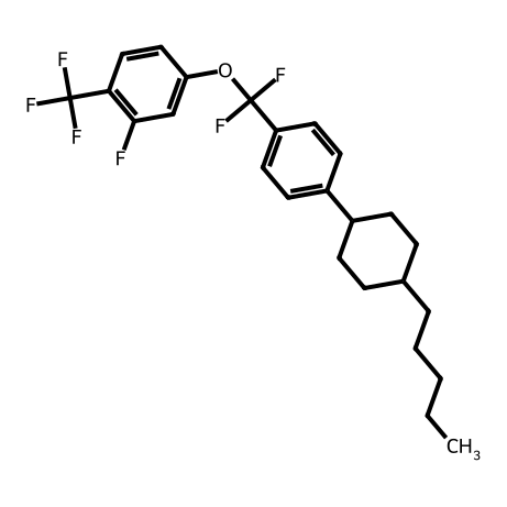 CCCCCC1CCC(c2ccc(C(F)(F)Oc3ccc(C(F)(F)F)c(F)c3)cc2)CC1